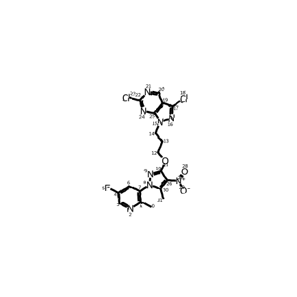 Cc1ncc(F)cc1-n1nc(OCCCn2nc(Cl)c3cnc(Cl)nc32)c([N+](=O)[O-])c1C